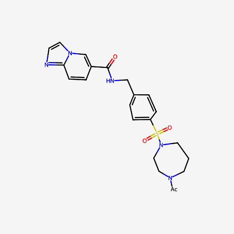 CC(=O)N1CCCN(S(=O)(=O)c2ccc(CNC(=O)c3ccc4nccn4c3)cc2)CC1